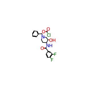 O=C(Cl)OC(c1ccccc1)N1CCC(NC(=O)c2ccc(F)c(F)c2)C(O)C1